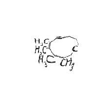 CC1=C(C)/C(C)=C(/C)CCCCC\C=C\1